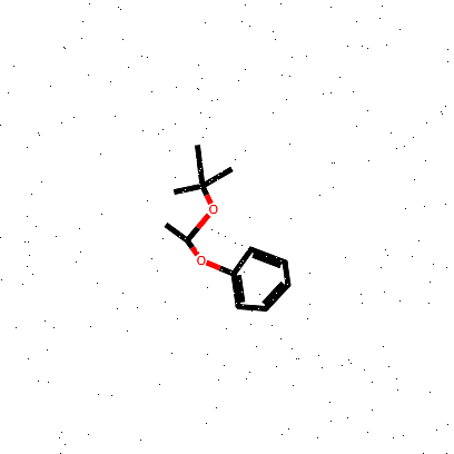 CC(Oc1[c]cccc1)OC(C)(C)C